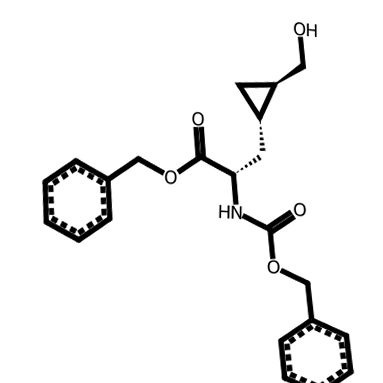 O=C(N[C@@H](C[C@@H]1C[C@H]1CO)C(=O)OCc1ccccc1)OCc1ccccc1